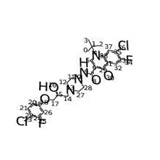 CC(C)(C)n1cc(C(=O)NN2CCN(C[C@H](O)COc3ccc(Cl)c(F)c3)CC2)c(=O)c2cc(F)c(Cl)cc21